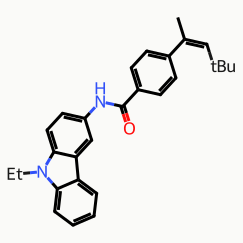 CCn1c2ccccc2c2cc(NC(=O)c3ccc(/C(C)=C\C(C)(C)C)cc3)ccc21